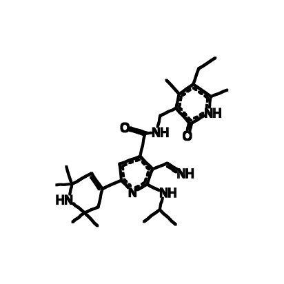 CCc1c(C)[nH]c(=O)c(CNC(=O)c2cc(C3=CC(C)(C)NC(C)(C)C3)nc(NC(C)C)c2C=N)c1C